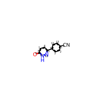 N#Cc1ccc(-c2ccc(=O)[nH]n2)cc1